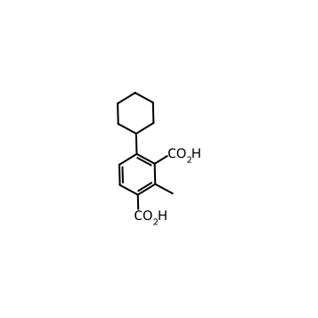 Cc1c(C(=O)O)ccc(C2CCCCC2)c1C(=O)O